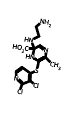 CC1=C(Sc2ccnc(Cl)c2Cl)NC(NCCN)(C(=O)O)C=N1